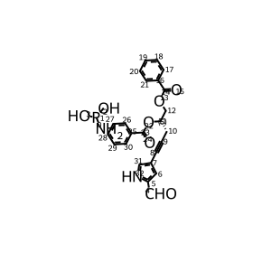 NP(O)O.O=Cc1cc(C#CC[C@@H](COC(=O)c2ccccc2)OC(=O)c2ccccc2)c[nH]1